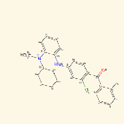 Cc1ccccc1C(=O)c1ccc(Nc2ccccc2N(C(=O)O)C2CCCCC2)cc1Cl